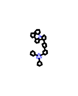 c1ccc(-c2nc(-c3ccccc3)nc(-c3cccc(-c4ccc(-c5cccc6c5c5cccc(-c7ccccc7)c5n6-c5ccccc5)cc4)c3)n2)cc1